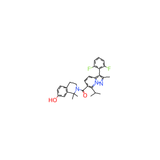 Cc1nn2c(C(C)C)c(C(=O)N3CCc4ccc(O)cc4C3(C)C)ccc2c1-c1c(F)cccc1F